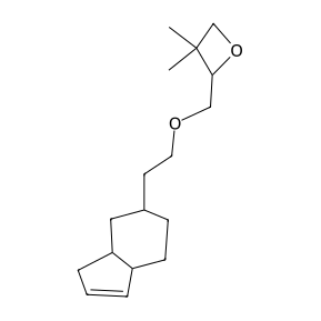 CC1(C)COC1COCCC1CCC2C=CCC2C1